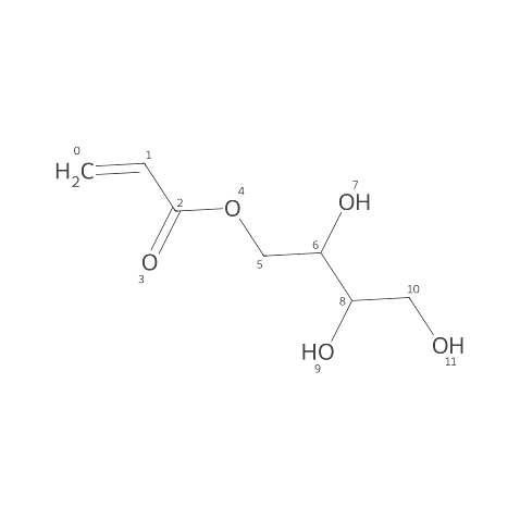 C=CC(=O)OCC(O)C(O)CO